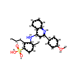 CCCc1c(S(=O)(=O)O)ccc(C)c1Nc1cc(-c2ccc(OC)cc2)nc2ccccc12